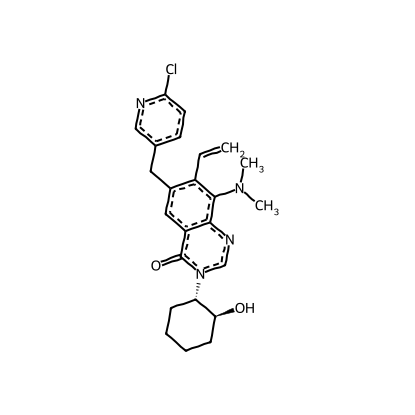 C=Cc1c(Cc2ccc(Cl)nc2)cc2c(=O)n([C@H]3CCCC[C@@H]3O)cnc2c1N(C)C